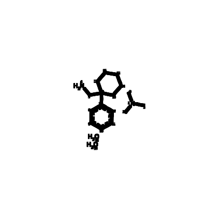 CN(C)C.NCC1(c2ccccc2)CCCCC1.O.O